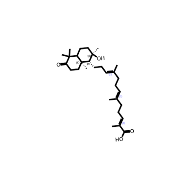 C/C(=C\CC/C(C)=C/CC[C@@H]1[C@@]2(C)CCC(=O)C(C)(C)C2CC[C@@]1(C)O)CC/C=C(\C)C(=O)O